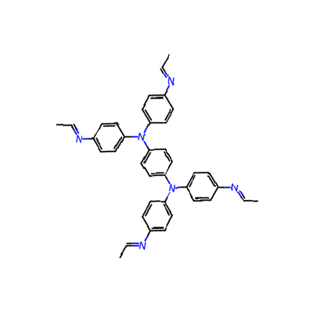 C/C=N/c1ccc(N(c2ccc(/N=C/C)cc2)c2ccc(N(c3ccc(/N=C/C)cc3)c3ccc(/N=C/C)cc3)cc2)cc1